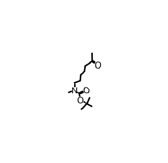 CC(=O)CCCCCN(C)C(=O)OC(C)(C)C